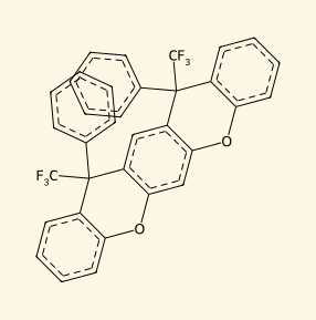 FC(F)(F)C1(c2ccccc2)c2ccccc2Oc2cc3c(cc21)C(c1ccccc1)(C(F)(F)F)c1ccccc1O3